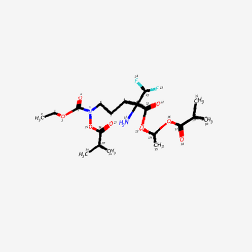 CCOC(=O)N(CCCC(N)(C(=O)OC(C)OC(=O)C(C)C)C(F)F)OC(=O)C(C)C